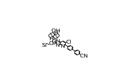 C[Si](C)(C)CCOCC1(O[C@@H]2CO[C@H]3[C@@H]2OC[C@H]3O)N=c2cc(Cl)c(-c3ccc(-c4ccc(C#N)cc4)cc3)nc2=N1